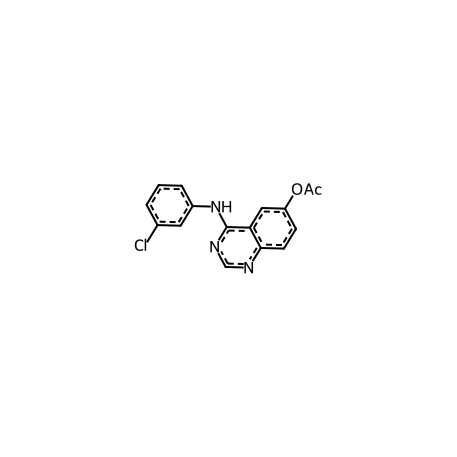 CC(=O)Oc1ccc2ncnc(Nc3cccc(Cl)c3)c2c1